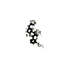 COc1cccc2c1SCC1C2Nc2ccc(Cc3nnn[nH]3)cc2C1(C)C